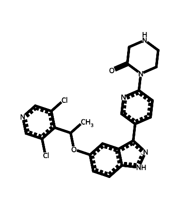 CC(Oc1ccc2[nH]nc(-c3ccc(N4CCNCC4=O)nc3)c2c1)c1c(Cl)cncc1Cl